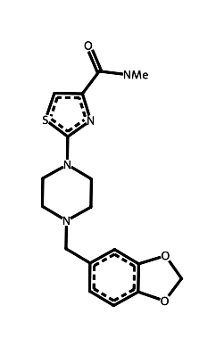 CNC(=O)c1csc(N2CCN(Cc3ccc4c(c3)OCO4)CC2)n1